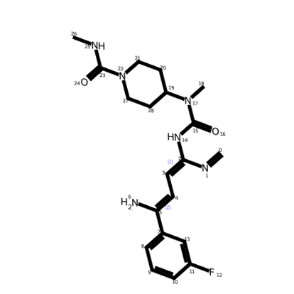 C=N/C(=C\C=C(/N)c1cccc(F)c1)NC(=O)N(C)C1CCN(C(=O)NC)CC1